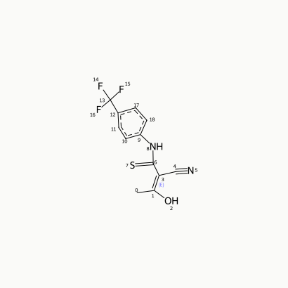 C/C(O)=C(/C#N)C(=S)Nc1ccc(C(F)(F)F)cc1